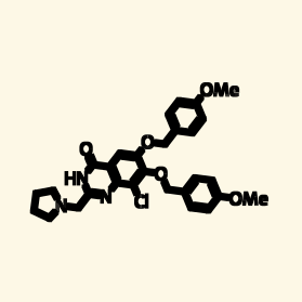 COc1ccc(COc2cc3c(=O)[nH]c(CN4CCCC4)nc3c(Cl)c2OCc2ccc(OC)cc2)cc1